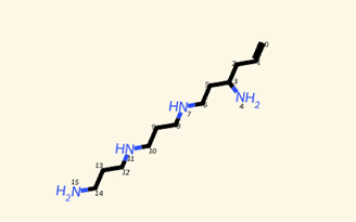 C=CCC(N)CCNCCCNCCCN